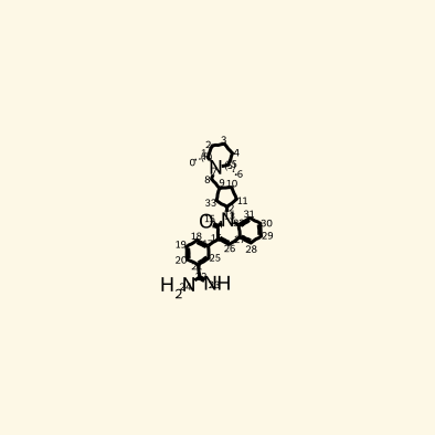 C[C@@H]1CCC[C@H](C)N1CC1CCC(n2c(=O)c(-c3cccc(C(=N)N)c3)cc3ccccc32)C1